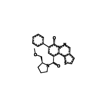 COC[C@@H]1CCCN1C(=O)c1cc(-c2ccccc2)c(=O)n2ncc3ccsc3c12